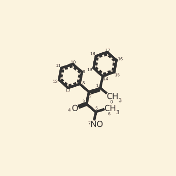 C/C(=C(\C(=O)C(C)N=O)c1ccccc1)c1ccccc1